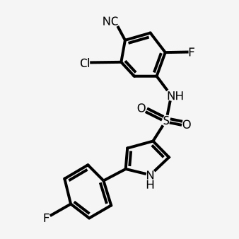 N#Cc1cc(F)c(NS(=O)(=O)c2c[nH]c(-c3ccc(F)cc3)c2)cc1Cl